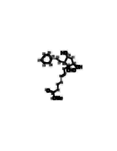 COC(=O)CCCC=CCC1(C=O)C(O)CC(O)C1CCc1ccccc1